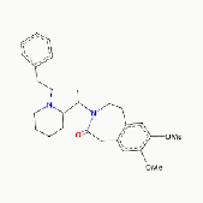 COc1cc2c(cc1OC)CC(=O)N(C(C)C1CCCCN1CCc1ccccc1)CC2